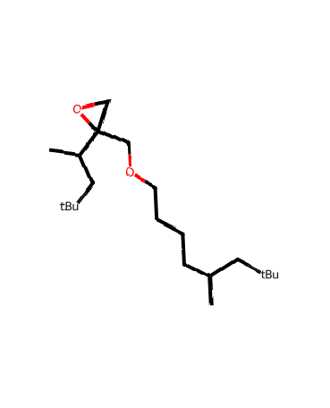 CC(CCCCOCC1(C(C)CC(C)(C)C)CO1)CC(C)(C)C